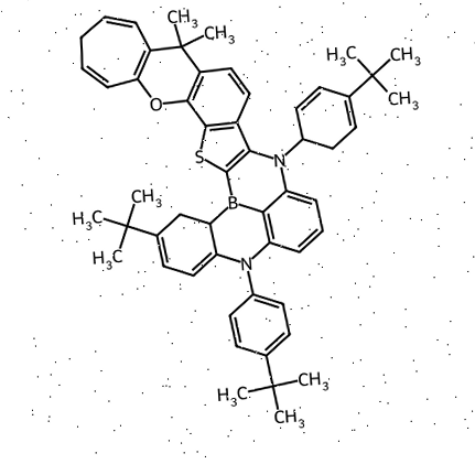 CC(C)(C)C1=CCC(N2c3cccc4c3B(c3sc5c6c(ccc5c32)C(C)(C)C2=C(C=CCC=C2)O6)C2CC(C(C)(C)C)=CC=C2N4c2ccc(C(C)(C)C)cc2)C=C1